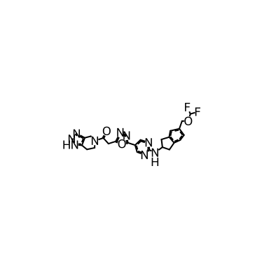 O=C(Cc1nnc(-c2cnc(NC3Cc4ccc(COC(F)F)cc4C3)nc2)o1)N1CCc2[nH]nnc2C1